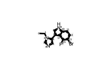 CCn1cncc1-c1c[nH]c2ccc(Br)c(F)c12